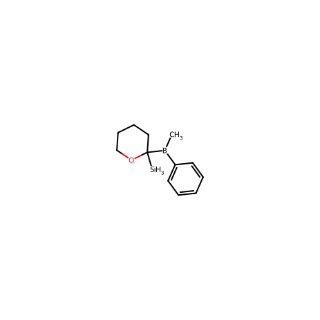 CB(c1ccccc1)C1([SiH3])CCCCO1